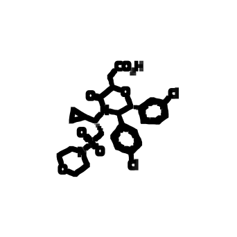 O=C(O)C[C@H]1O[C@H](c2cccc(Cl)c2)[C@@H](c2ccc(Cl)cc2)N([C@H](CS(=O)(=O)N2CCOCC2)C2CC2)C1=O